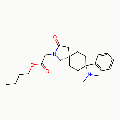 CCCCOC(=O)CN1C[C@]2(CC[C@@](c3ccccc3)(N(C)C)CC2)CC1=O